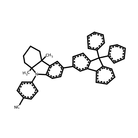 CC12CCCCC1(C)N(c1ccc(C#N)cc1)c1ccc(-c3ccc4c(c3)-c3ccccc3C4(c3ccccc3)c3ccccc3)cc12